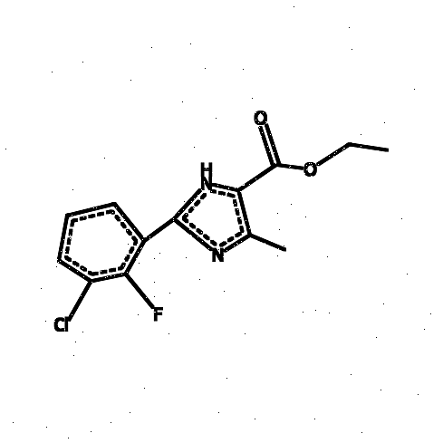 CCOC(=O)c1[nH]c(-c2cccc(Cl)c2F)nc1C